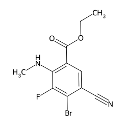 CCOC(=O)c1cc(C#N)c(Br)c(F)c1NC